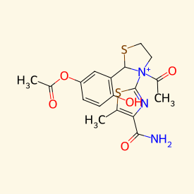 CC(=O)Oc1ccc(O)c(C2SCC[N+]2(C(C)=O)c2nc(C(N)=O)c(C)s2)c1